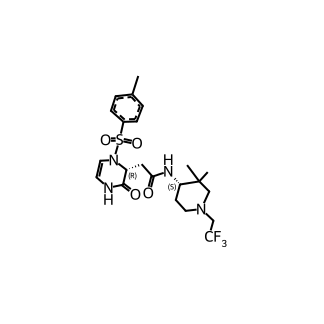 Cc1ccc(S(=O)(=O)N2C=CNC(=O)[C@H]2CC(=O)N[C@H]2CCN(CC(F)(F)F)CC2(C)C)cc1